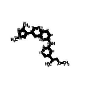 COCC(C)c1cnnc(Nc2ccc3ncc(-c4cn(C)nc4C)cc3n2)c1